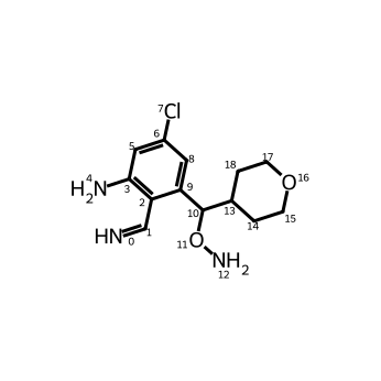 N=Cc1c(N)cc(Cl)cc1C(ON)C1CCOCC1